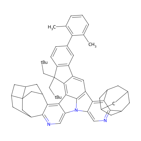 Cc1cccc(C)c1-c1ccc2c(c1)-c1cc3c4c5c(ncc4n4c6cnc7c(c6c(c1C2(CC(C)(C)C)CC(C)(C)C)c34)C1CC2CC3CC7CC32C1)C1CC2CC(C1)CC5C2